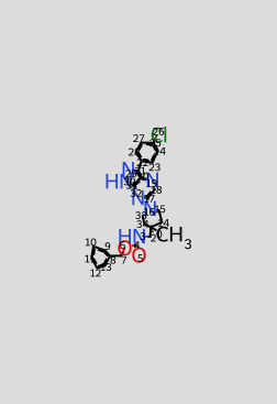 CC1(CNC(=O)OCc2ccccc2)CCN(c2cnc3c(-c4ccc(Cl)cc4)n[nH]c3n2)CC1